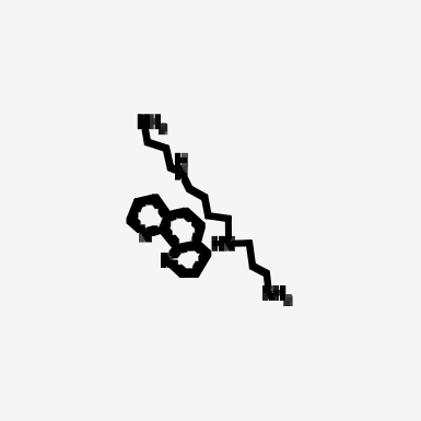 NCCCNCCCCNCCCN.c1cnc2c(c1)ccc1cccnc12